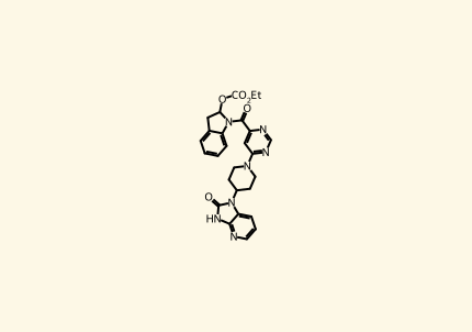 CCOC(=O)OC1Cc2ccccc2N1C(=O)c1cc(N2CCC(n3c(=O)[nH]c4ncccc43)CC2)ncn1